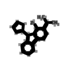 CC(C)=c1ccc2c([c]1[Zr])C(C1=CC=CC1)=c1ccccc1=2